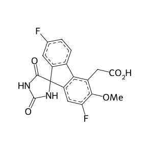 COc1c(F)cc2c(c1CC(=O)O)-c1ccc(F)cc1C21NC(=O)NC1=O